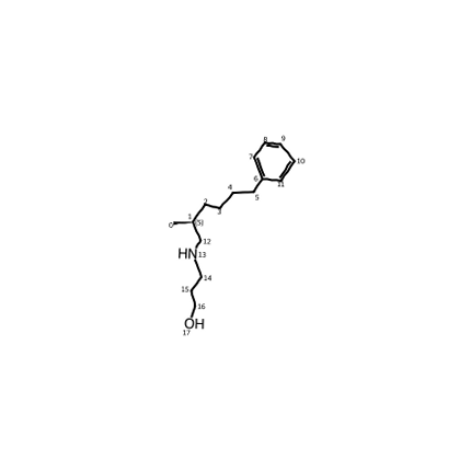 C[C@@H](CCCCc1ccccc1)CNCCCO